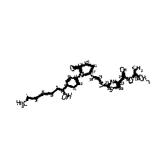 CCCCCCC(O)c1ccc(N2C(=O)CC[C@@H]2CCSc2nc(C(=O)OC(C)C)cs2)cc1